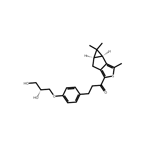 Cc1sc(C(=O)CCc2ccc(OC[C@H](O)CO)cc2)c2c1[C@H]1[C@@H](C2)C1(C)C